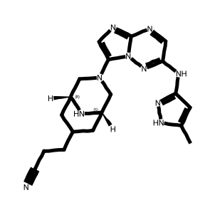 Cc1cc(Nc2cnc3ncc(N4C[C@H]5CC(CCC#N)C[C@@H](C4)N5)n3n2)n[nH]1